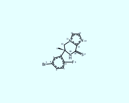 C[C@@]1(c2cc(Br)ccc2F)Cn2ccnc2C(=S)N1